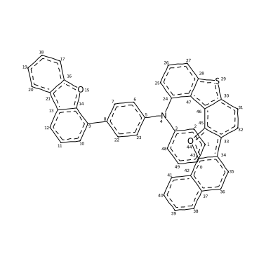 c1ccc(N(c2ccc(-c3cccc4c3oc3ccccc34)cc2)c2cccc3sc4ccc5c6ccc7ccccc7c6oc5c4c23)cc1